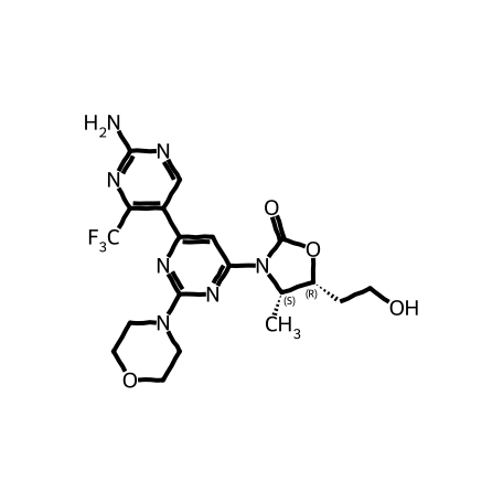 C[C@H]1[C@@H](CCO)OC(=O)N1c1cc(-c2cnc(N)nc2C(F)(F)F)nc(N2CCOCC2)n1